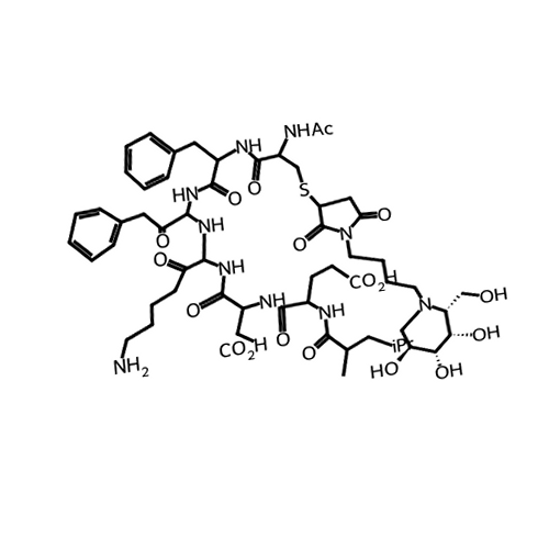 CC(=O)NC(CSC1CC(=O)N(CCCCN2C[C@H](O)[C@@H](O)[C@@H](O)[C@H]2CO)C1=O)C(=O)NC(Cc1ccccc1)C(=O)NC(NC(NC(=O)C(CC(=O)O)NC(=O)C(CCC(=O)O)NC(=O)C(C)CC(C)C)C(=O)CCCCN)C(=O)Cc1ccccc1